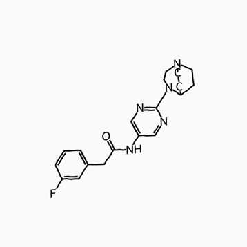 O=C(Cc1cccc(F)c1)Nc1cnc(N2CCN3CCC2CC3)nc1